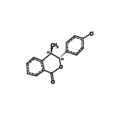 C[C@@H]1c2ccccc2C(=O)O[C@H]1c1ccc(Cl)cc1